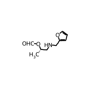 C[C@@H](CNCc1ccco1)OC=O